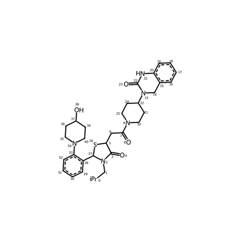 CC(C)CN1C(=O)C(CC(=O)N2CCC(N3Cc4ccccc4NC3=O)CC2)SC1c1ccccc1N1CCC(O)CC1